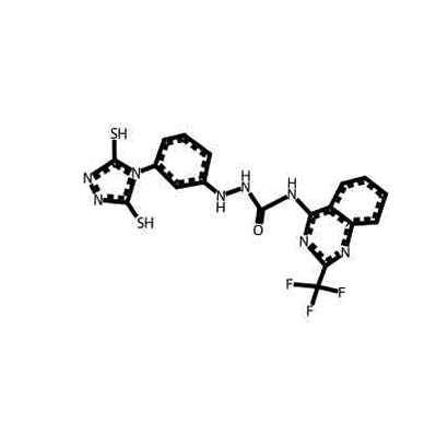 O=C(NNc1cccc(-n2c(S)nnc2S)c1)Nc1nc(C(F)(F)F)nc2ccccc12